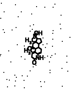 CC12CCC(=O)NC1=CCC1C2C(=O)CC2(C)/C(=N/O)CCC12